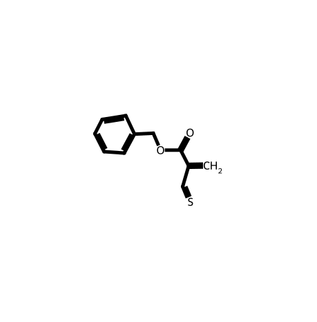 C=C(C=S)C(=O)OCc1ccccc1